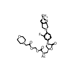 CC(=O)N(C[C@H]1CN(c2ccc(N3Cc4cn(C)nc4C3)c(F)c2)C(=O)O1)C(=O)OCOC(=O)CN1CCOCC1